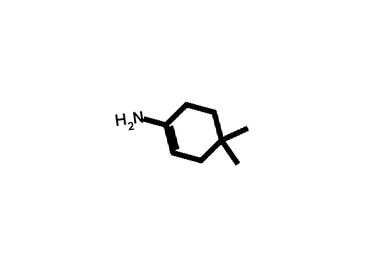 CC1(C)CC=C(N)CC1